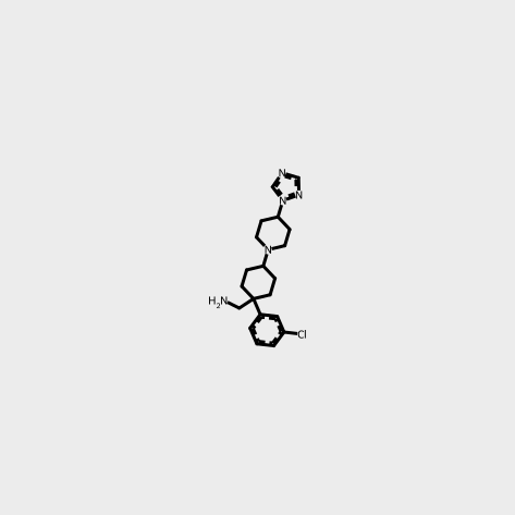 NCC1(c2cccc(Cl)c2)CCC(N2CCC(n3cncn3)CC2)CC1